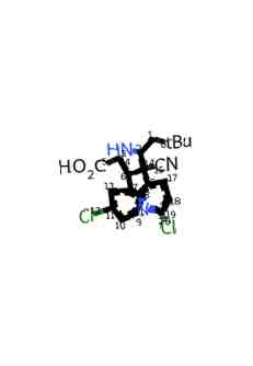 CC(C)(C)CC1NC(C(=O)O)C(c2cccc(Cl)c2)C1(C#N)c1ccc(Cl)nc1